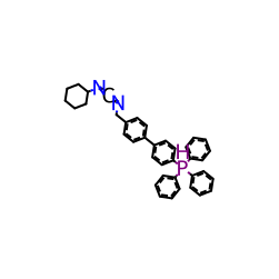 C(=NCc1ccc(-c2ccc([PH](c3ccccc3)(c3ccccc3)c3ccccc3)cc2)cc1)=NC1CCCCC1